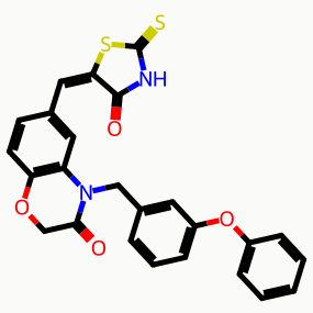 O=C1NC(=S)SC1=Cc1ccc2c(c1)N(Cc1cccc(Oc3ccccc3)c1)C(=O)CO2